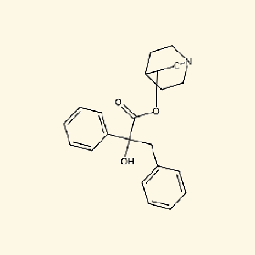 O=C(OC1CN2CCC1CC2)C(O)(Cc1ccccc1)c1ccccc1